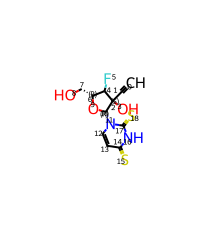 C#C[C@@]1(O)C(F)[C@@H](CO)O[C@H]1n1ccc(=S)[nH]c1=S